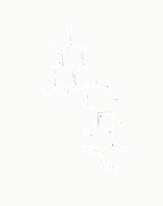 CN(C)C(=O)c1nn2c(c1Cl)CN(c1nc(Cl)nc3c(F)c(Br)ccc13)CCC2